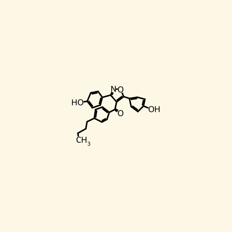 CCCCc1ccc(C(=O)c2c(-c3ccc(O)cc3)noc2-c2ccc(O)cc2)cc1